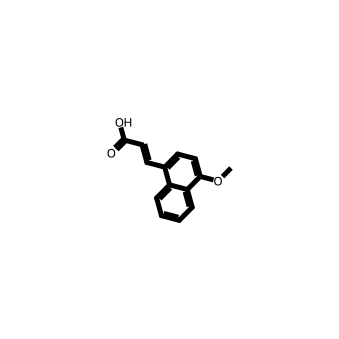 COc1ccc(C=CC(=O)O)c2ccccc12